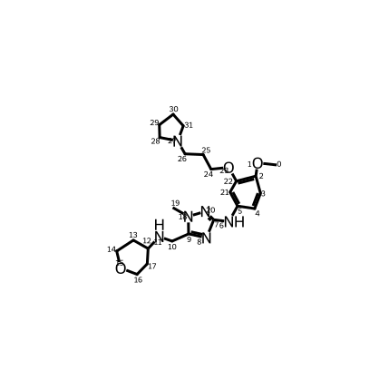 COc1ccc(Nc2nc(CNC3CCOCC3)n(C)n2)cc1OCCCN1CCCC1